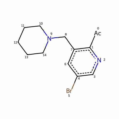 CC(=O)c1ncc(Br)cc1CN1CCCCC1